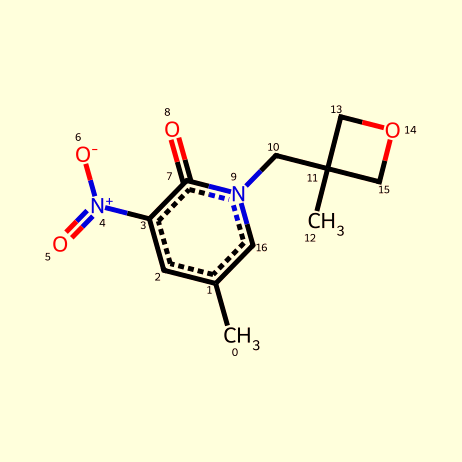 Cc1cc([N+](=O)[O-])c(=O)n(CC2(C)COC2)c1